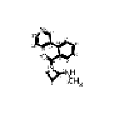 CNC1CCN1C(=O)c1ccccc1-c1[c]nccc1